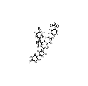 CS(=O)(=O)c1ccc(CN2CCC(c3c(C(=O)N4CC[C@H](c5ccc(F)cc5)C4)cnn3-c3ncc(F)cn3)CC2)cc1